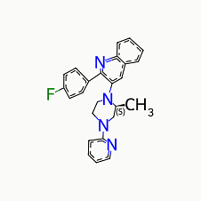 C[C@H]1CN(c2ccccn2)CCN1c1cc2ccccc2nc1-c1ccc(F)cc1